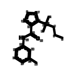 CCC[N+](C)(C)c1scnc1C(=O)Nc1cccc(C)c1